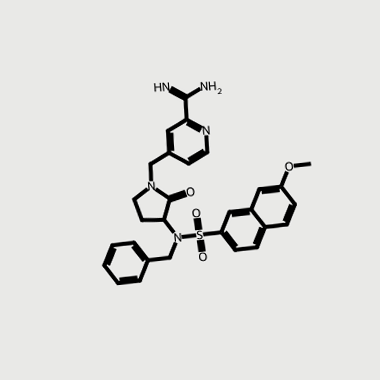 COc1ccc2ccc(S(=O)(=O)N(Cc3ccccc3)C3CCN(Cc4ccnc(C(=N)N)c4)C3=O)cc2c1